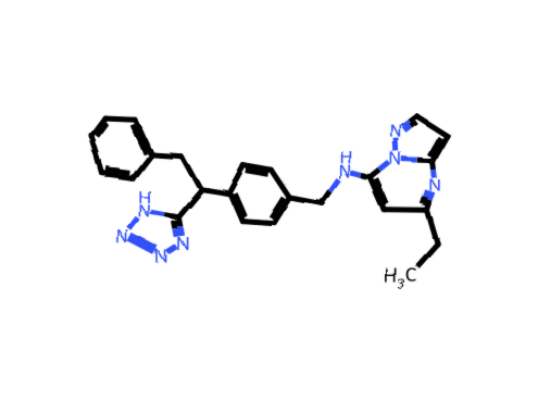 CCc1cc(NCc2ccc(C(Cc3ccccc3)c3nnn[nH]3)cc2)n2nccc2n1